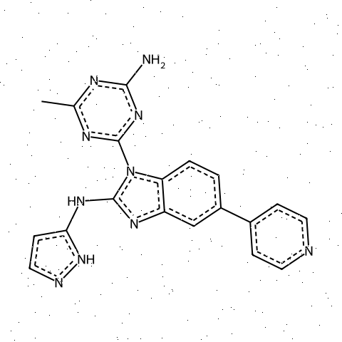 Cc1nc(N)nc(-n2c(Nc3ccn[nH]3)nc3cc(-c4ccncc4)ccc32)n1